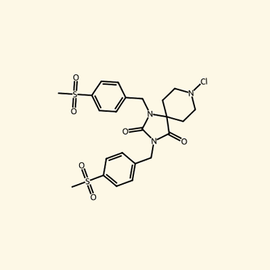 CS(=O)(=O)c1ccc(CN2C(=O)N(Cc3ccc(S(C)(=O)=O)cc3)C3(CCN(Cl)CC3)C2=O)cc1